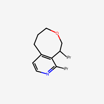 CC(C)c1nccc2c1C(C(C)C)COCCC2